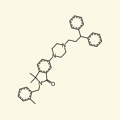 Cc1ccccc1CN1C(=O)c2cc(N3CCN(CCC(c4ccccc4)c4ccccc4)CC3)ccc2C1(C)C